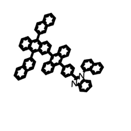 c1ccc2cc(-c3c4ccccc4c(-c4ccc5ccccc5c4)c4cc(-c5c6ccccc6c(-c6ccc(-c7nc8ccccc8n7-c7cccc8ccccc78)cc6)c6ccccc56)ccc34)ccc2c1